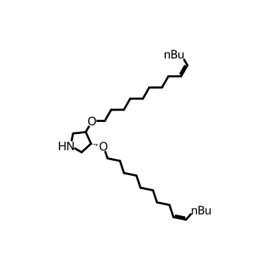 CCCC/C=C\CCCCCCCCOC1CNC[C@H]1OCCCCCCCC/C=C\CCCC